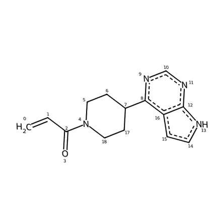 C=CC(=O)N1CCC(c2ncnc3[nH]ccc23)CC1